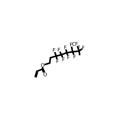 C=CC(=O)OCCC(F)(F)C(F)(F)C(F)(F)C(F)(F)C(C)(F)C(F)(F)F